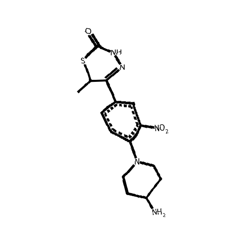 CC1SC(=O)NN=C1c1ccc(N2CCC(N)CC2)c([N+](=O)[O-])c1